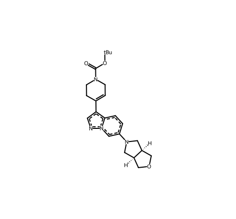 CC(C)(C)OC(=O)N1CC=C(c2cnn3cc(N4C[C@H]5COC[C@H]5C4)ccc23)CC1